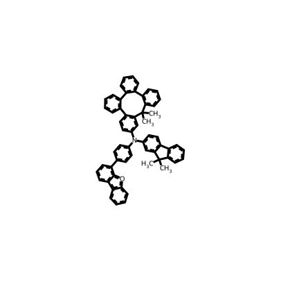 CC1(C)c2ccccc2-c2ccccc2-c2ccccc2-c2ccc(N(c3ccc(-c4cccc5c4oc4ccccc45)cc3)c3ccc4c(c3)C(C)(C)c3ccccc3-4)cc21